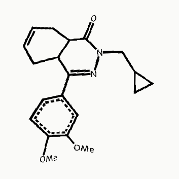 COc1ccc(C2=NN(CC3CC3)C(=O)C3CC=CCC23)cc1OC